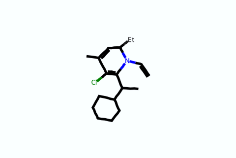 C=CN1C(C(C)C2CCCCC2)=C(Cl)C(C)=CC1CC